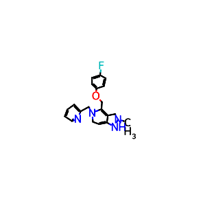 CN1CC2=C(COc3ccc(F)cc3)N(Cc3ccccn3)CC=C2N1